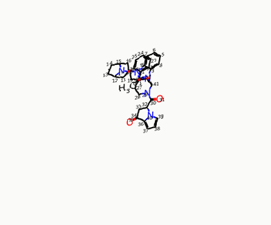 Cc1nc2ccccc2n1C1CC2CCC(C1)N2CCC1(c2ccccc2)CCN(C(=O)C2CC(=O)c3cccn32)CC1